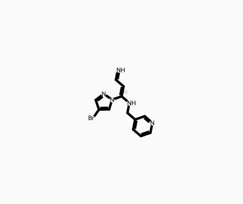 N=C/C=C(/NCc1cccnc1)n1cc(Br)cn1